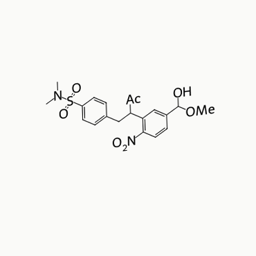 COC(O)c1ccc([N+](=O)[O-])c(C(Cc2ccc(S(=O)(=O)N(C)C)cc2)C(C)=O)c1